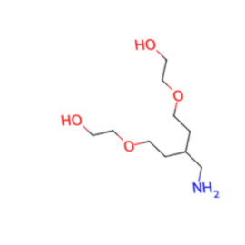 NCC(CCOCCO)CCOCCO